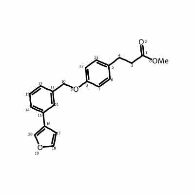 COC(=O)CCc1ccc(OCc2cccc(-c3ccoc3)c2)cc1